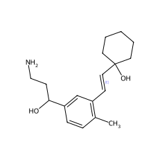 Cc1ccc(C(O)CCN)cc1/C=C/C1(O)CCCCC1